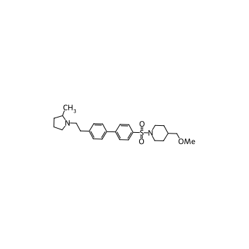 COCC1CCN(S(=O)(=O)c2ccc(-c3ccc(CCN4CCCC4C)cc3)cc2)CC1